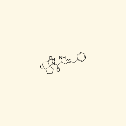 NC(CSCc1ccccc1)C(=O)NC12CCCC1OCC2=O